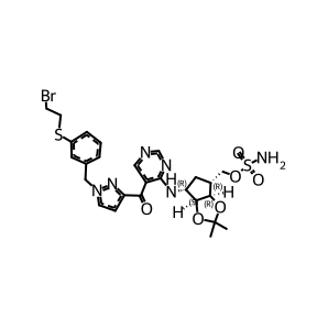 CC1(C)O[C@@H]2[C@@H](COS(N)(=O)=O)C[C@@H](Nc3ncncc3C(=O)c3ccn(Cc4cccc(SCCBr)c4)n3)[C@@H]2O1